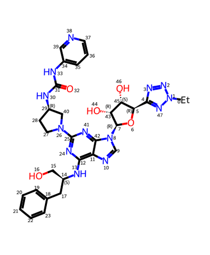 CCn1nnc([C@H]2O[C@@H](n3cnc4c(N[C@H](CO)Cc5ccccc5)nc(N5CC[C@@H](NC(=O)Nc6cccnc6)C5)nc43)[C@H](O)[C@@H]2O)n1